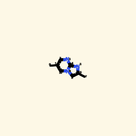 Cc1cnc2nc(C)cn2c1